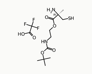 CC(C)(C)OC(=O)NCCOC(=O)[C@@](C)(N)CS.O=C(O)C(F)(F)F